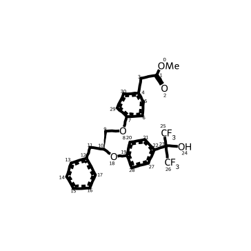 COC(=O)Cc1ccc(OC[C@H](Cc2ccccc2)Oc2ccc(C(O)(C(F)(F)F)C(F)(F)F)cc2)cc1